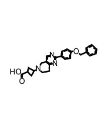 O=C(O)C1CC(N2CCc3nc(-c4ccc(OCc5ccccc5)cc4)ncc3C2)C1